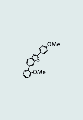 COc1ccc(-c2cc3ccc(-c4ccccc4OC)cc3s2)cc1